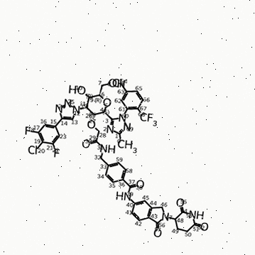 Cc1nc([C@@H]2O[C@H](CO)[C@H](O)[C@H](n3cc(-c4cc(F)c(Cl)c(F)c4)nn3)[C@H]2OCC(=O)NCc2ccc(C(=O)Nc3ccc4c(c3)CN(C3CCC(=O)NC3=O)C4=O)cc2)n(-c2cc(Cl)ccc2C(F)(F)F)n1